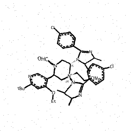 CCOc1cc(C(C)(C)C)ncc1C1C[N@@+](CCOC)(N2C(c3ccc(Cl)cc3)=NC(C)C2C)[C@@H](N2C(c3ccc(Cl)cc3)=NC(C)C2C)CN1C=O